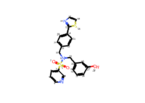 O=S(=O)(c1cccnc1)N(Cc1ccc(-c2nccs2)cc1)Cc1cccc(O)c1